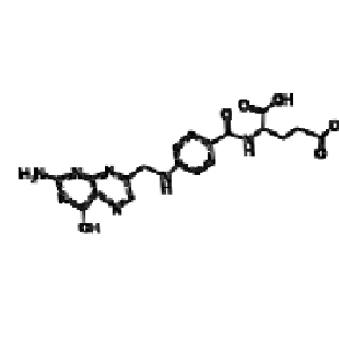 Nc1nc(O)c2ncc(CNc3ccc(C(=O)NC(CCC(=O)O)C(=O)O)cc3)nc2n1